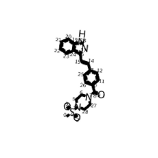 CS(=O)(=O)N1CCN(C(=O)c2ccc(C=Cc3n[nH]c4ccccc34)cc2)CC1